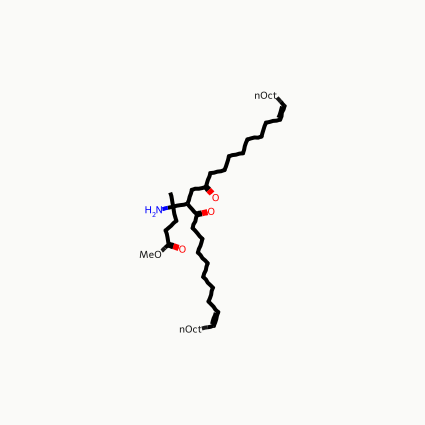 CCCCCCCC/C=C\CCCCCCCC(=O)CC(C(=O)CCCCCCC/C=C\CCCCCCCC)C(C)(N)CCC(=O)OC